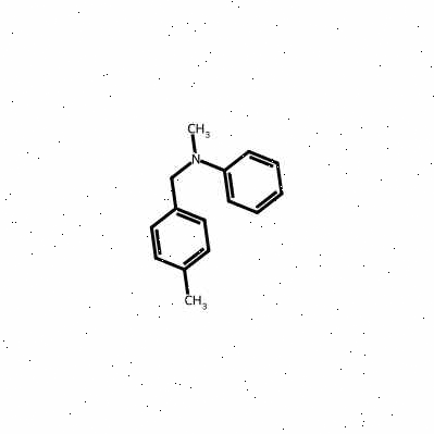 Cc1ccc(CN(C)c2ccccc2)cc1